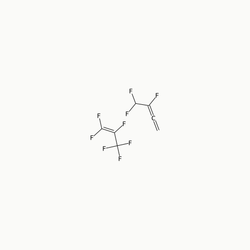 C=C=C(F)C(F)F.FC(F)=C(F)C(F)(F)F